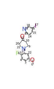 COc1ccc(F)c(N2CCC(Oc3ccc(I)cn3)CC2)c1